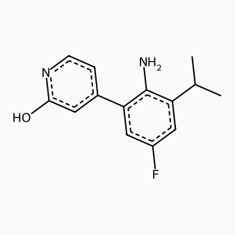 CC(C)c1cc(F)cc(-c2ccnc(O)c2)c1N